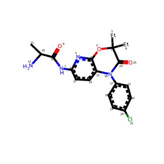 CCC1(CC)Oc2nc(NC(=O)C(C)N)ccc2N(c2ccc(Cl)cc2)C1=O